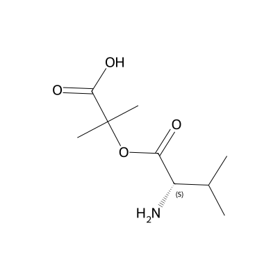 CC(C)[C@H](N)C(=O)OC(C)(C)C(=O)O